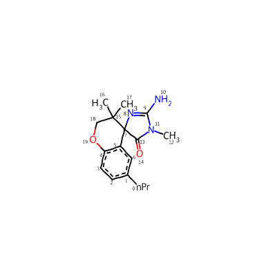 CCCc1ccc2c(c1)C1(N=C(N)N(C)C1=O)C(C)(C)CO2